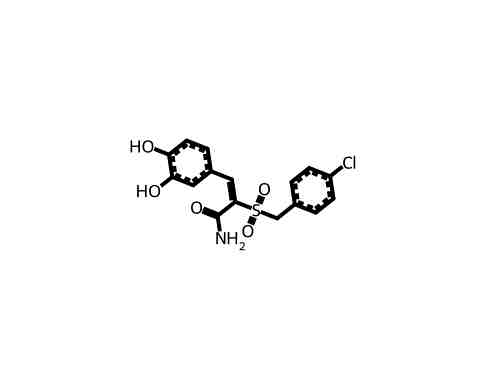 NC(=O)/C(=C\c1ccc(O)c(O)c1)S(=O)(=O)Cc1ccc(Cl)cc1